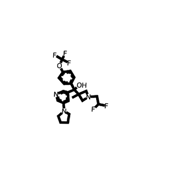 CC1(C(O)(c2ccc(OC(F)(F)F)cc2)c2cncc(N3CCCC3)c2)CN(CC(F)F)C1